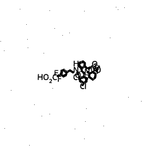 CS(=O)(=O)N1C=C2c3ccccc3[C@@H](C(=O)NCCc3ccc(C(F)(F)C(=O)O)cc3)[C@H](c3ccc(Cl)cc3Cl)N2[C@H]2CCCC[C@@H]21